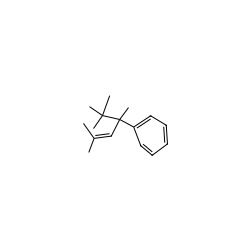 CC(C)=CC(C)(c1ccccc1)C(C)(C)C